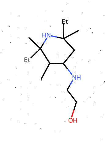 CCC1(C)CC(NCCO)C(C)C(C)(CC)N1